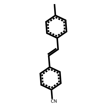 Cc1ccc(/C=C/c2ccc(C#N)cc2)cc1